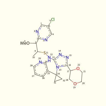 COC(c1ncc(Cl)cn1)C(C)SNc1nnc(C2COCCO2)n1C1(c2cccnc2)CC1